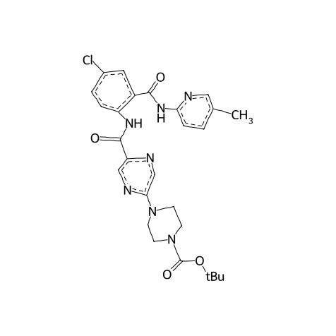 Cc1ccc(NC(=O)c2cc(Cl)ccc2NC(=O)c2cnc(N3CCN(C(=O)OC(C)(C)C)CC3)cn2)nc1